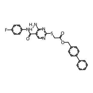 Nc1nc(SCC(=O)OCc2ccc(-c3ccccc3)cc2)ncc1C(=O)Nc1ccc(F)cc1